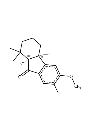 CC1(C)CCC[C@@]2(C)c3cc(OC(F)(F)F)c(F)cc3C(=O)[C@@H]12